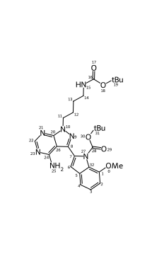 COc1cccc2cc(-c3nn(CCCCNC(=O)OC(C)(C)C)c4ncnc(N)c34)n(C(=O)OC(C)(C)C)c12